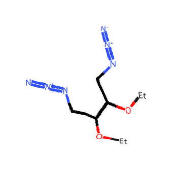 CCOC(CN=[N+]=[N-])C(CN=[N+]=[N-])OCC